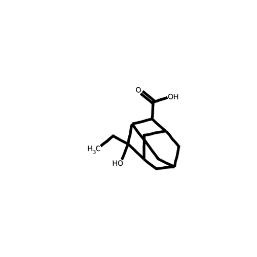 CCC1(O)C2CC3CC(C2)C(C(=O)O)C1C3